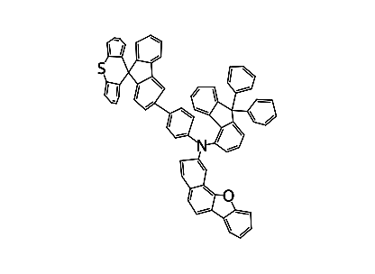 c1ccc(C2(c3ccccc3)c3ccccc3-c3c(N(c4ccc(-c5ccc6c(c5)-c5ccccc5C65c6ccccc6Sc6ccccc65)cc4)c4ccc5ccc6c7ccccc7oc6c5c4)cccc32)cc1